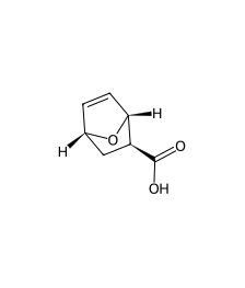 O=C(O)[C@H]1C[C@@H]2C=C[C@H]1O2